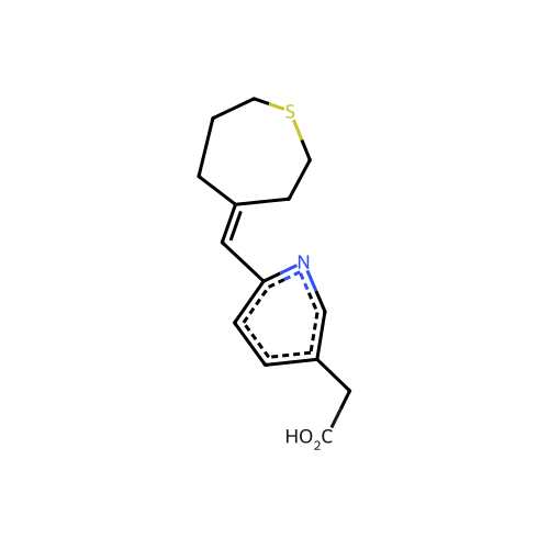 O=C(O)Cc1ccc(/C=C2/CCCSCC2)nc1